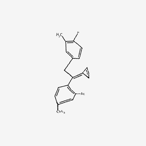 CC(=O)c1cc(C)ccc1C(Cc1ccc(F)c(C)c1)=C1C=C1